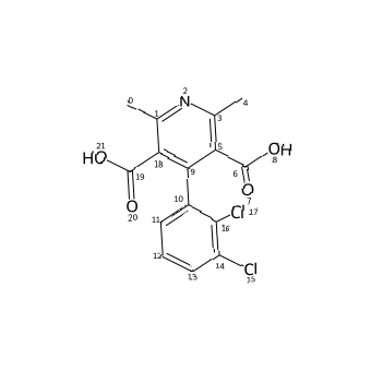 Cc1nc(C)c(C(=O)O)c(-c2cccc(Cl)c2Cl)c1C(=O)O